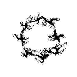 OC1CC2(CCl)OC(OC3C(CCl)OC(OC4C(CCl)OC(OC5C(CCl)OC(OC6C(CCl)OC(OC7C(CCl)OC(OC8C(CCl)OC(OC9C(CCl)OC(O2)C(O)C9O)C(O)C8O)C(O)C7O)C(O)C6O)C(O)C5O)C(O)C4O)C(O)C3O)C1O